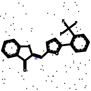 O=C1/C(=C/c2ccc(-c3ccccc3C(F)(F)F)o2)Sc2ccccc21